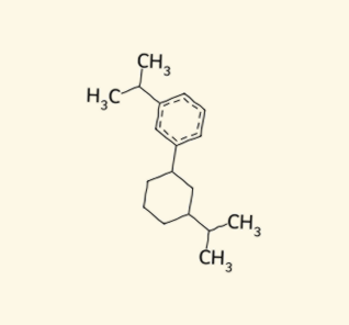 CC(C)c1cccc(C2CCCC(C(C)C)C2)c1